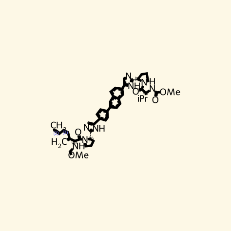 C=C(/C=C\C=C/C)[C@@H](NCOC)C(=O)N1CCC[C@H]1c1ncc(-c2ccc(-c3ccc4cc(-c5cnc([C@@H]6CCCN6C(=O)[C@@H](NC(=O)OC)C(C)C)[nH]5)ccc4c3)cc2)[nH]1